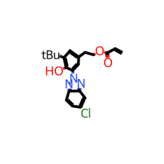 C=CC(=O)OCCc1cc(-n2nc3ccc(Cl)cc3n2)c(O)c(C(C)(C)C)c1